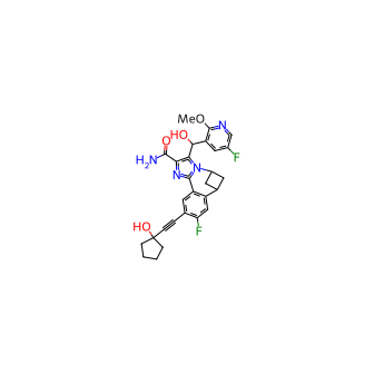 COc1ncc(F)cc1C(O)c1c(C(N)=O)nc2n1C1CC(C1)c1cc(F)c(C#CC3(O)CCCC3)cc1-2